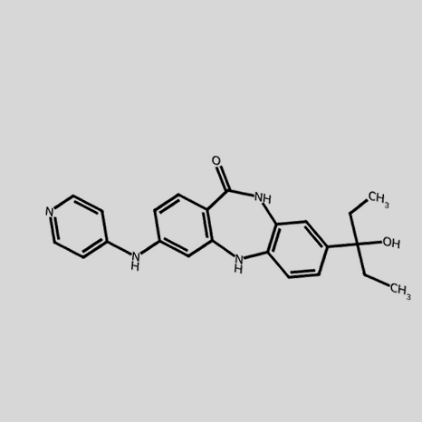 CCC(O)(CC)c1ccc2c(c1)NC(=O)c1ccc(Nc3ccncc3)cc1N2